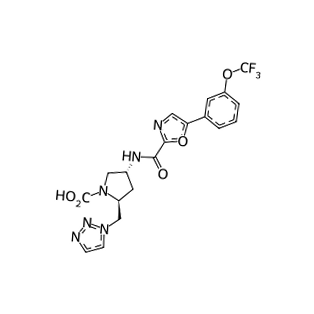 O=C(N[C@@H]1C[C@@H](Cn2ccnn2)N(C(=O)O)C1)c1ncc(-c2cccc(OC(F)(F)F)c2)o1